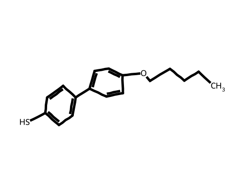 CCCCCOc1ccc(-c2ccc(S)cc2)cc1